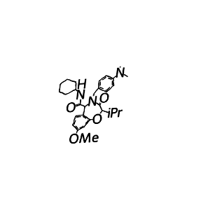 COc1ccc2c(c1)OC(C(C)C)C(=O)N(Cc1ccc(N(C)C)cc1)C2C(=O)NC1CCCCC1